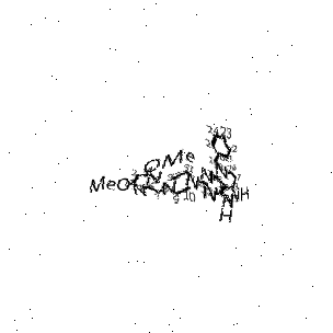 COc1cc(OC)nc(CN2CCN(c3nc4c5c(n3)N(Cc3ccccc3)CCC5NN4)CC2)n1